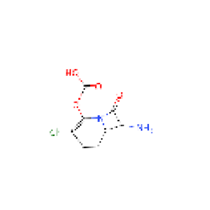 NC1C(=O)N2C(OC(=O)O)=C(Cl)CCC12